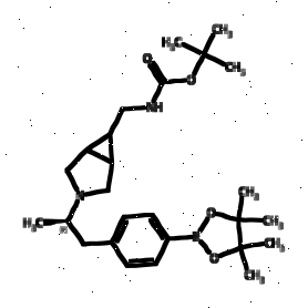 C[C@H](Cc1ccc(B2OC(C)(C)C(C)(C)O2)cc1)N1CC2C(CNC(=O)OC(C)(C)C)C2C1